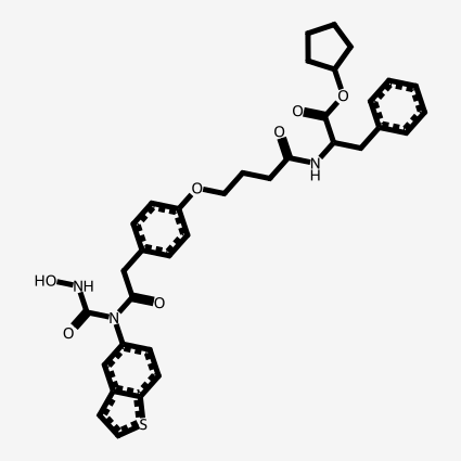 O=C(CCCOc1ccc(CC(=O)N(C(=O)NO)c2ccc3sccc3c2)cc1)NC(Cc1ccccc1)C(=O)OC1CCCC1